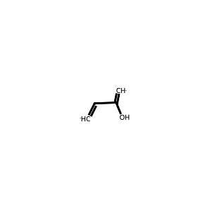 [CH]=CC(=[CH])O